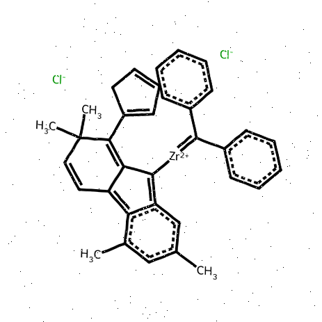 Cc1cc(C)c2c(c1)=[C]([Zr+2]=[C](c1ccccc1)c1ccccc1)C1=C(C3=CC=CC3)C(C)(C)C=CC=21.[Cl-].[Cl-]